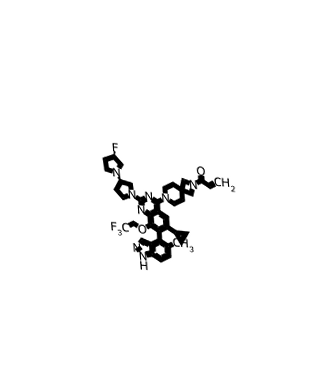 C=CC(=O)N1CC2(CCN(c3nc(N4CC[C@@H](N5CC[C@H](F)C5)C4)nc4c(OCC(F)(F)F)c(-c5c(C)ccc6[nH]ncc56)c(C5CC5)cc34)CC2)C1